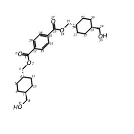 O=C(OC[C@H]1CC[C@H](CO)CC1)c1ccc(C(=O)OC[C@H]2CC[C@H](CO)CC2)cc1